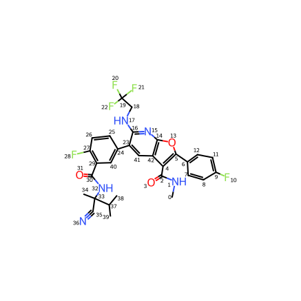 CNC(=O)c1c(-c2ccc(F)cc2)oc2nc(NCC(F)(F)F)c(-c3ccc(F)c(C(=O)NC(C)(C#N)C(C)C)c3)cc12